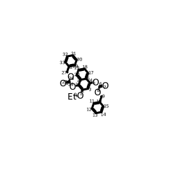 CCOc1cc(OC(=O)OCc2ccccc2)c2ccccc2c1OC(=O)OCc1ccccc1